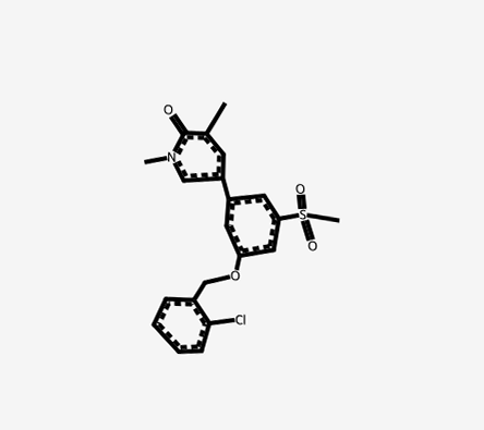 Cc1cc(-c2cc(OCc3ccccc3Cl)cc(S(C)(=O)=O)c2)cn(C)c1=O